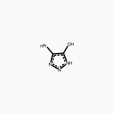 CCCc1nn[nH]c1O